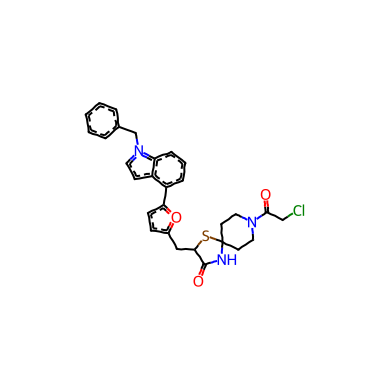 O=C1NC2(CCN(C(=O)CCl)CC2)SC1Cc1ccc(-c2cccc3c2ccn3Cc2ccccc2)o1